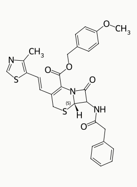 COc1ccc(COC(=O)C2=C(C=Cc3scnc3C)CS[C@H]3C(NC(=O)Cc4ccccc4)C(=O)N23)cc1